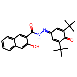 CC(C)(C)C1=CC(=NNC(=O)c2cc3ccccc3cc2O)C=C(C(C)(C)C)C1=O